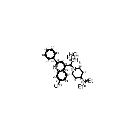 CCN(CC)C1CCN(C(C)c2cc(-c3ccccc3)nc3cc(Cl)ccc23)CC1.Cl.Cl